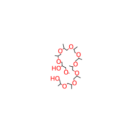 COCC(O)COC(C)COC(C)COC(C)COC(C)COC(C)COC(C)COC(C)COC(C)CO